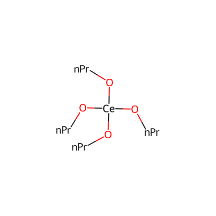 CCC[O][Ce]([O]CCC)([O]CCC)[O]CCC